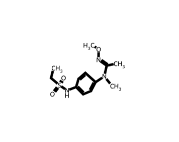 CCS(=O)(=O)Nc1ccc(N(C)C(C)=NOC)cc1